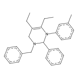 CCC1=C(CC)N(c2cccc(C)c2)C(c2ccccc2)N(Cc2ccccc2)C1